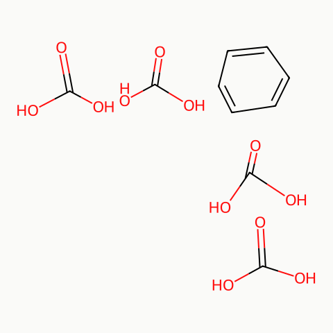 O=C(O)O.O=C(O)O.O=C(O)O.O=C(O)O.c1ccccc1